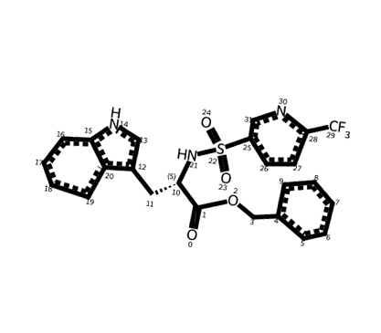 O=C(OCc1ccccc1)[C@H](Cc1c[nH]c2ccccc12)NS(=O)(=O)c1ccc(C(F)(F)F)nc1